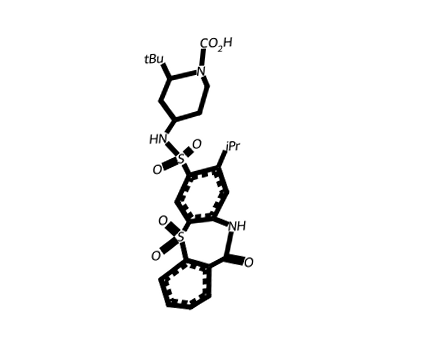 CC(C)c1cc2c(cc1S(=O)(=O)NC1CCN(C(=O)O)C(C(C)(C)C)C1)S(=O)(=O)c1ccccc1C(=O)N2